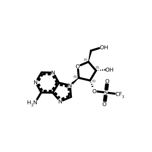 Nc1ncnc2c1ncn2[C@H]1O[C@@H](CO)[C@H](O)[C@@H]1OS(=O)(=O)C(F)(F)F